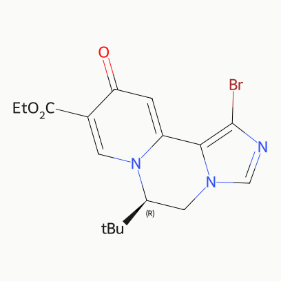 CCOC(=O)c1cn2c(cc1=O)-c1c(Br)ncn1C[C@H]2C(C)(C)C